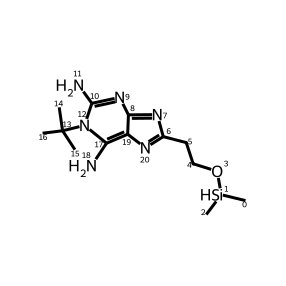 C[SiH](C)OCCc1nc2nc(N)n(C(C)(C)C)c(N)c-2n1